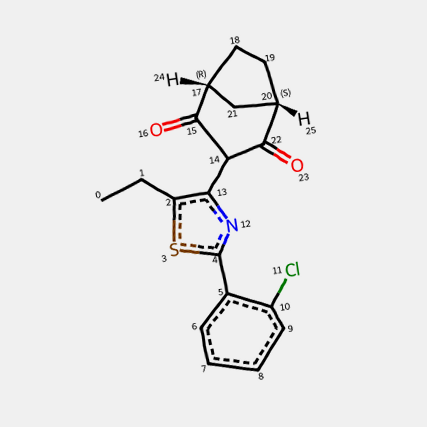 CCc1sc(-c2ccccc2Cl)nc1C1C(=O)[C@@H]2CC[C@@H](C2)C1=O